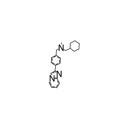 CN(Cc1ccc(-c2cn3ccccc3n2)cc1)CC1CCCCC1